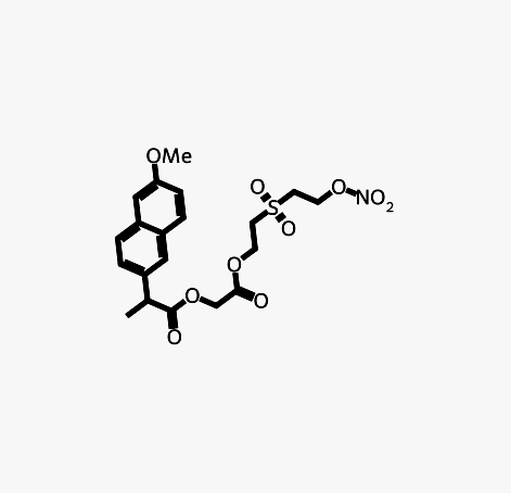 COc1ccc2cc(C(C)C(=O)OCC(=O)OCCS(=O)(=O)CCO[N+](=O)[O-])ccc2c1